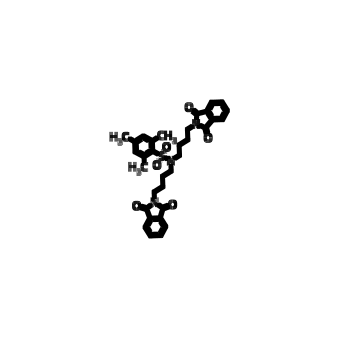 Cc1cc(C)c(S(=O)(=O)N(CCCCN2C(=O)c3ccccc3C2=O)CCCCN2C(=O)c3ccccc3C2=O)c(C)c1